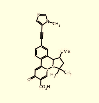 COC1CC(C)(C)N2C1c1cc(C#Cc3cncn3C)ccc1-c1cc(=O)c(C(=O)O)cn12